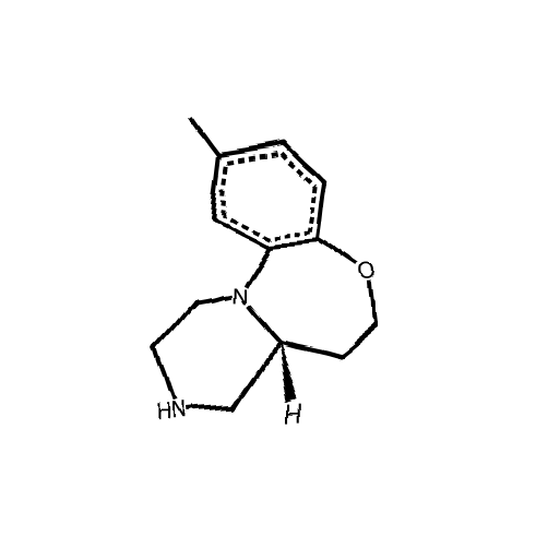 Cc1ccc2c(c1)N1CCNC[C@H]1CCO2